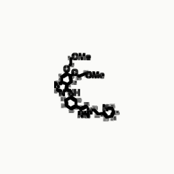 COCCOc1cc2ncnc(Nc3cccc(-c4cn(CCc5ccccn5)nn4)c3)c2cc1OCCOC